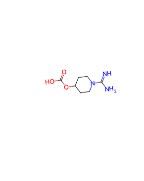 N=C(N)N1CCC(OC(=O)O)CC1